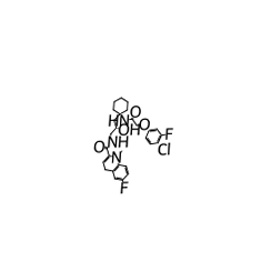 CN1C(C(=O)NC[C@@H](O)CC2(NC(=O)COc3ccc(Cl)c(F)c3)CCCCC2)=CCc2cc(F)ccc21